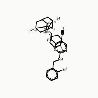 N#Cc1cnc(NCc2ccccc2S)nc1NC[C@@]12CC3C[C@H](C1)[C@@H](N[C@H]1CC[C@@H](O)CC1)[C@@H](C3)C2